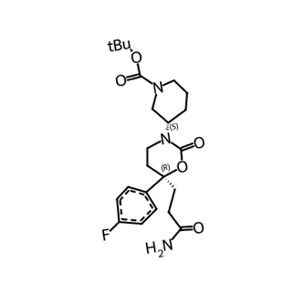 CC(C)(C)OC(=O)N1CCC[C@H](N2CC[C@](CCC(N)=O)(c3ccc(F)cc3)OC2=O)C1